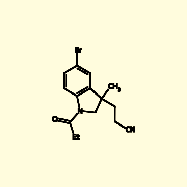 CCC(=O)N1CC(C)(CCC#N)c2cc(Br)ccc21